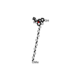 COCCOCCOCCOCCOCCOCCOCCOCCO[C@H]1CC[C@@]2(O)[C@H]3Cc4ccc(O)c5c4[C@@]2(CCN3CC2CCC2)C1O5